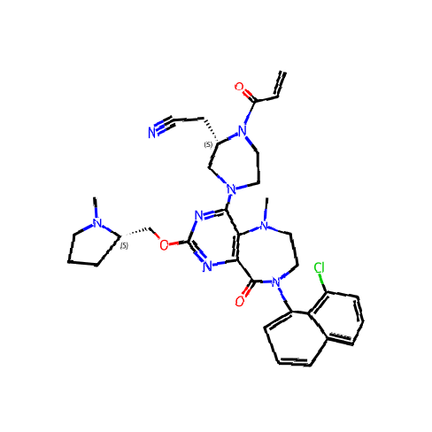 C=CC(=O)N1CCN(c2nc(OC[C@@H]3CCCN3C)nc3c2N(C)CCN(c2cccc4cccc(Cl)c24)C3=O)C[C@@H]1CC#N